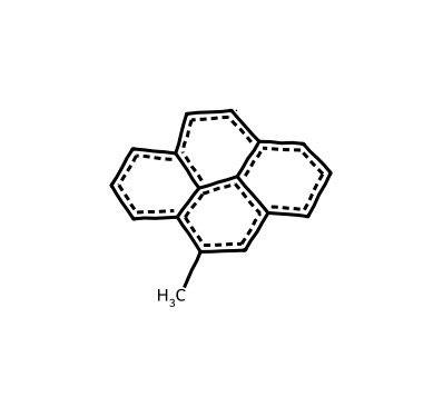 Cc1cc2cccc3[c]cc4cccc1c4c32